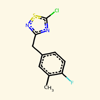 Cc1cc(Cc2nsc(Cl)n2)ccc1F